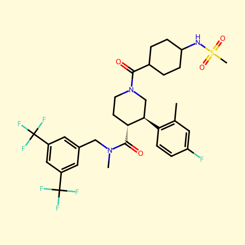 Cc1cc(F)ccc1[C@@H]1CN(C(=O)C2CCC(NS(C)(=O)=O)CC2)CC[C@H]1C(=O)N(C)Cc1cc(C(F)(F)F)cc(C(F)(F)F)c1